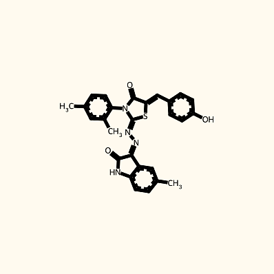 Cc1ccc(N2C(=O)C(=Cc3ccc(O)cc3)SC2=NN=C2C(=O)Nc3ccc(C)cc32)c(C)c1